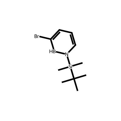 CC(C)(C)[Si](C)(C)N1BC(Br)=CC=C1